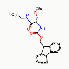 CC(C)(C)OC[C@H](NC(=O)OCC1c2ccccc2-c2ccccc21)C(=O)NCC(=O)O